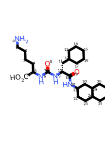 NCCCCC(NC(=O)N[C@H](CC1CCCCC1)C(=O)NC1CCC2CCCCC2C1)C(=O)O